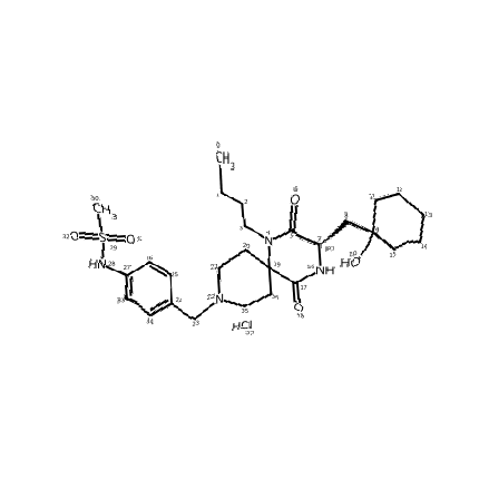 CCCCN1C(=O)[C@@H](CC2(O)CCCCC2)NC(=O)C12CCN(Cc1ccc(NS(C)(=O)=O)cc1)CC2.Cl